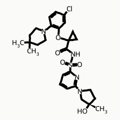 CC1(C)CCN(c2ccc(Cl)cc2OC2(C(=O)NS(=O)(=O)c3cccc(N4CC[C@](C)(O)C4)n3)CC2)CC1